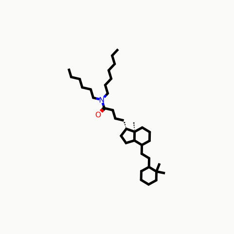 CCCCCCCN(CCCCCC)C(=O)CCC[C@H]1CCC2C(CCC3CCCCC3(C)C)CCC[C@@]21C